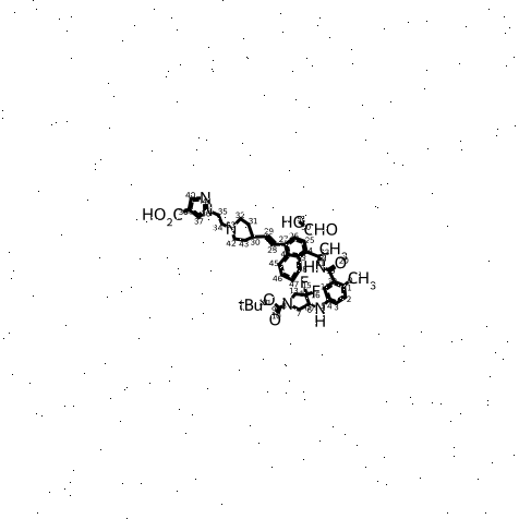 Cc1ccc(N[C@H]2CN(C(=O)OC(C)(C)C)CC2(F)F)cc1C(=O)N[C@H](C)c1ccc(C#CC2CCN(CCn3cc(C(=O)O)cn3)CC2)c2ccccc12.O=CO